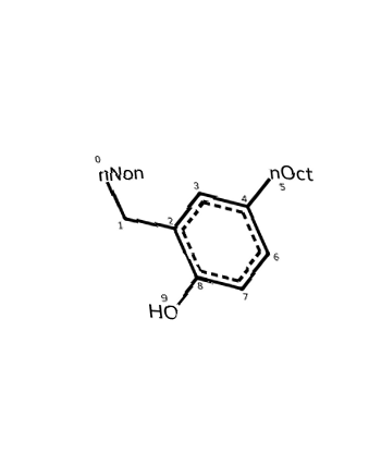 CCCCCCCCCCc1cc(CCCCCCCC)ccc1O